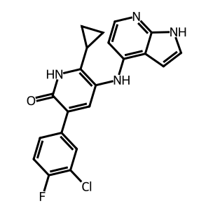 O=c1[nH]c(C2CC2)c(Nc2ccnc3[nH]ccc23)cc1-c1ccc(F)c(Cl)c1